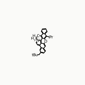 Cc1c2c(c(C(C)C)c3ccccc13)Oc1cc3ccc(CC(C)(C)C)cc3c3cc[n+](C)c-2c13